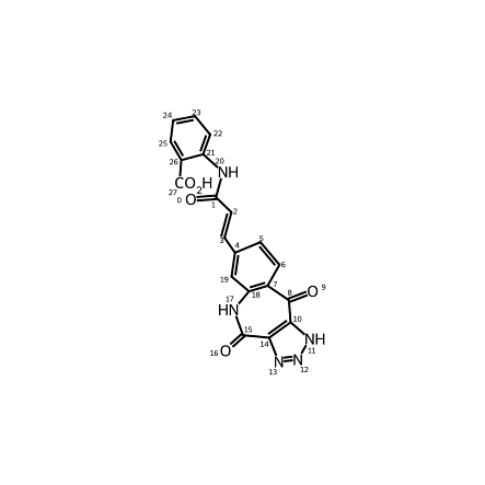 O=C(/C=C/c1ccc2c(=O)c3[nH]nnc3c(=O)[nH]c2c1)Nc1ccccc1C(=O)O